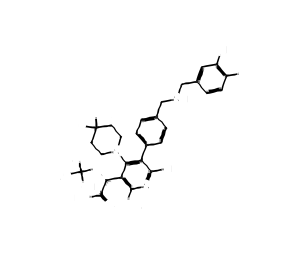 Cc1nc(C)c([C@H](OC(C)(C)C)C(=O)O)c(N2CCC(C)(C)CC2)c1-c1ccc(CNCc2ccc(Cl)c(Cl)c2)cc1